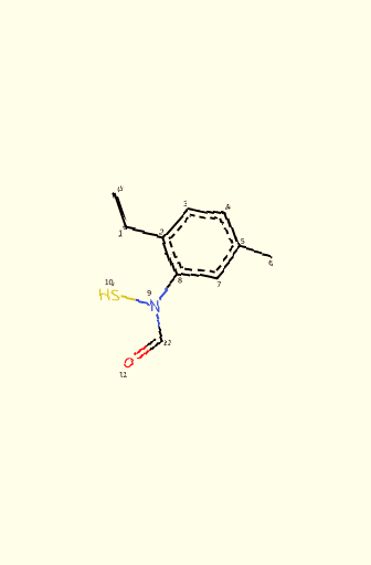 CCc1ccc(C)cc1N(S)C=O